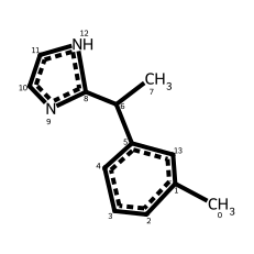 Cc1cccc(C(C)c2ncc[nH]2)c1